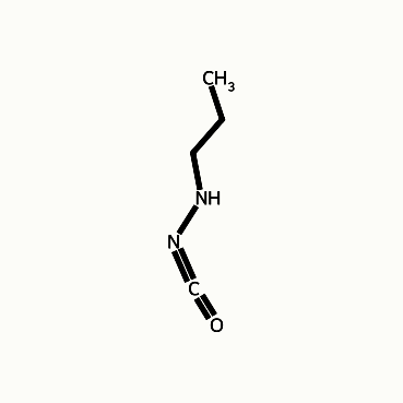 CCCNN=C=O